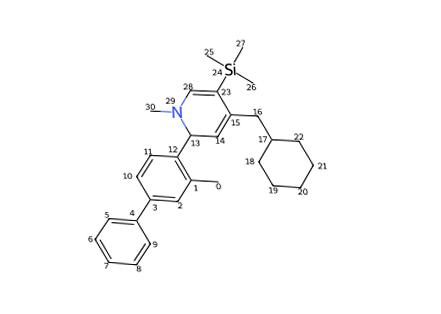 Cc1cc(-c2ccccc2)ccc1C1C=C(CC2CCCCC2)C([Si](C)(C)C)=CN1C